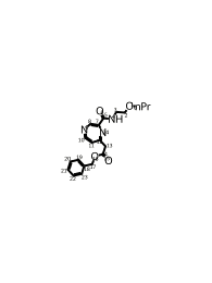 CCCOCCNC(=O)C1=CN=C=CC(CC(=O)OCc2ccccc2)=N1